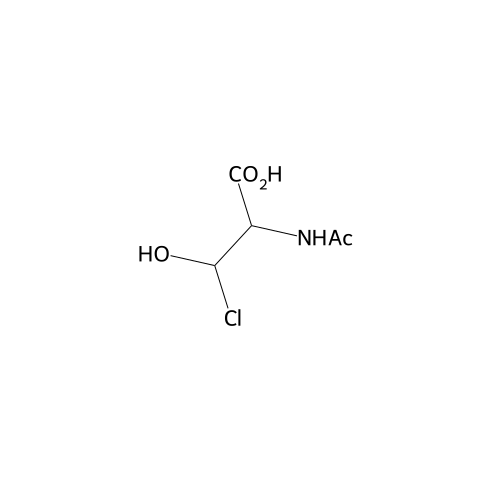 CC(=O)NC(C(=O)O)C(O)Cl